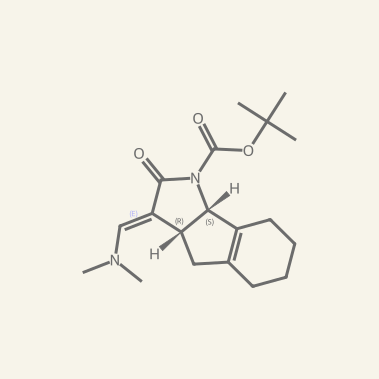 CN(C)/C=C1/C(=O)N(C(=O)OC(C)(C)C)[C@@H]2C3=C(CCCC3)C[C@H]12